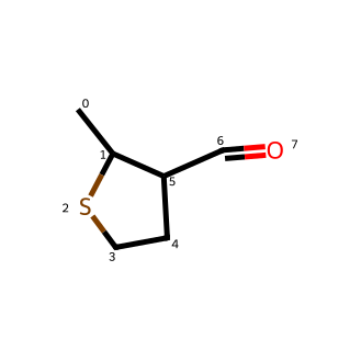 CC1SCCC1C=O